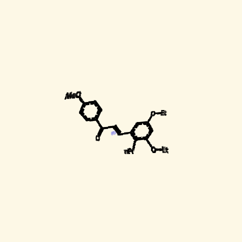 CCCc1c(/C=C/C(=O)c2ccc(OC)cc2)cc(OCC)cc1OCC